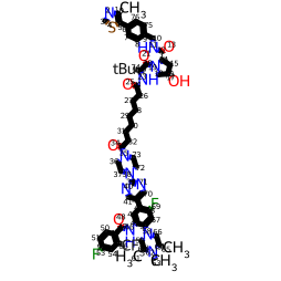 Cc1ncsc1-c1ccc(CNC(=O)[C@@H]2C[C@@H](O)CN2C(=O)C(NC(=O)CCCCCCCC(=O)N2CCN(c3ncc(-c4cc(NC(=O)c5ccc(F)cc5C(F)(F)F)c(N5C[C@@H](C)N(C)[C@@H](C)C5)cc4F)cn3)CC2)C(C)(C)C)cc1